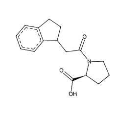 O=C(O)[C@@H]1CCCN1C(=O)CC1CCc2ccccc21